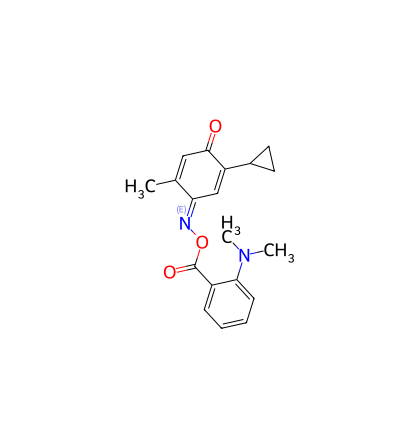 CC1=CC(=O)C(C2CC2)=C/C1=N\OC(=O)c1ccccc1N(C)C